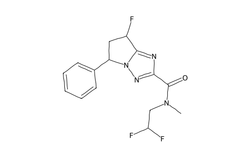 CN(CC(F)F)C(=O)c1nc2n(n1)C(c1ccccc1)CC2F